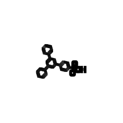 O=S(=O)(O)c1ccc(-c2cc(-c3ccccc3)cc(-c3ccccc3)c2)cc1